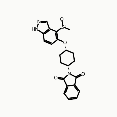 C[S+]([O-])c1c(O[C@H]2CC[C@@H](N3C(=O)c4ccccc4C3=O)CC2)ccc2[nH]ncc12